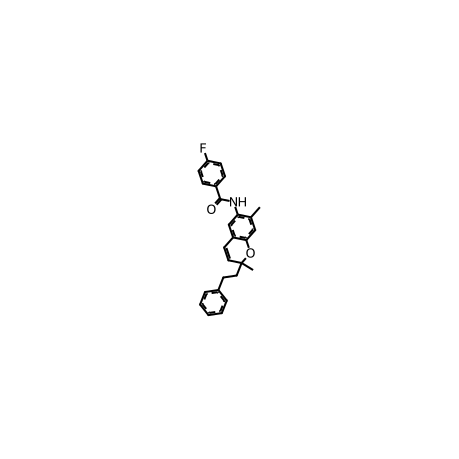 Cc1cc2c(cc1NC(=O)c1ccc(F)cc1)C=CC(C)(CCc1ccccc1)O2